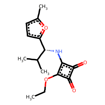 CCOc1c(N[C@@H](c2ccc(C)o2)C(C)C)c(=O)c1=O